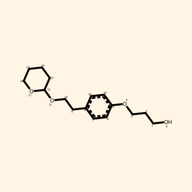 OCCCOc1ccc(CCOC2CCCCO2)cc1